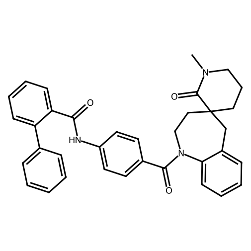 CN1CCCC2(CCN(C(=O)c3ccc(NC(=O)c4ccccc4-c4ccccc4)cc3)c3ccccc3C2)C1=O